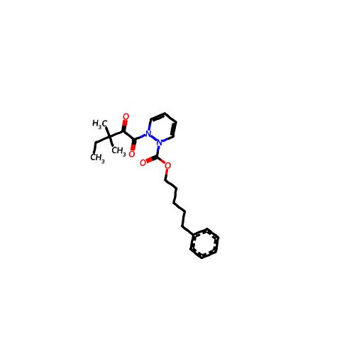 CCC(C)(C)C(=O)C(=O)N1C=CC=CN1C(=O)OCCCCCc1ccccc1